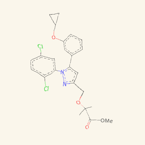 COC(=O)C(C)(C)OCc1cc(-c2cccc(OC3CC3)c2)n(-c2cc(Cl)ccc2Cl)n1